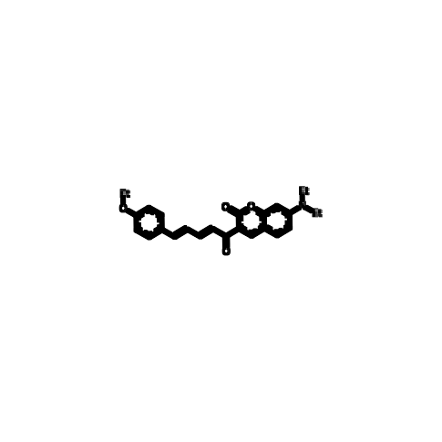 CCOc1ccc(C=CC=CC(=O)c2cc3ccc(N(CC)CC)cc3oc2=O)cc1